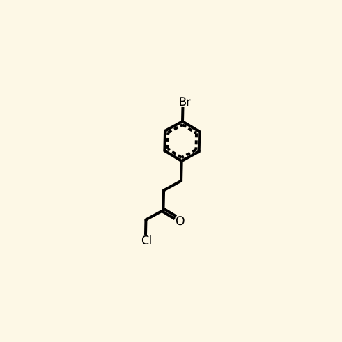 O=C(CCl)CCc1ccc(Br)cc1